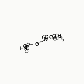 CC1(C)OCc2cc([C@@H]3CN(CCCCCCOCCC#Cc4cccc(S(=O)(=O)NC5CCCCC5)c4)C(=O)O3)ccc2O1